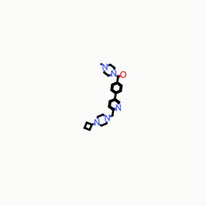 CN1CCN(C(=O)c2ccc(-c3ccc(CN4CCN(C5CCC5)CC4)nc3)cc2)CC1